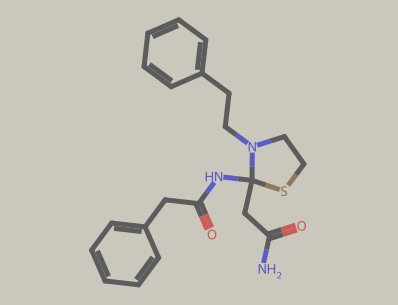 NC(=O)CC1(NC(=O)Cc2ccccc2)SCCN1CCc1ccccc1